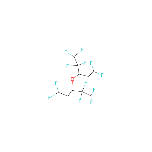 FC(F)CC(OC(CC(F)F)C(F)(F)C(F)F)C(F)(F)C(F)F